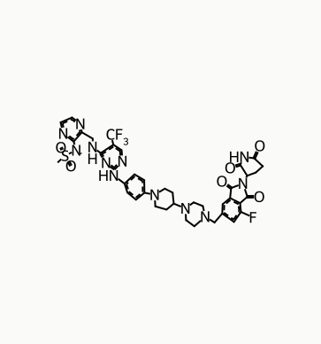 CN(c1nccnc1CNc1nc(Nc2ccc(N3CCC(N4CCN(Cc5cc(F)c6c(c5)C(=O)N(C5CCC(=O)NC5=O)C6=O)CC4)CC3)cc2)ncc1C(F)(F)F)S(C)(=O)=O